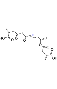 C=C(CC(=O)OC(=O)/C=C/CC(=O)OC(=O)CC(=C)C(=O)O)C(=O)O